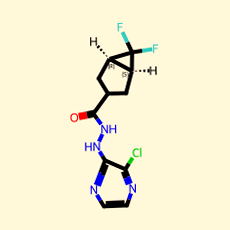 O=C(NNc1nccnc1Cl)C1C[C@@H]2[C@H](C1)C2(F)F